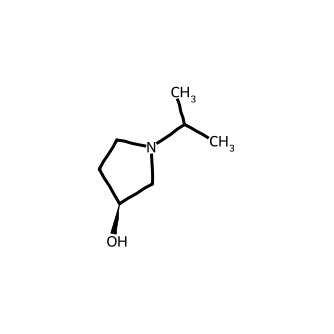 CC(C)N1CC[C@H](O)C1